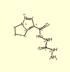 NNC(=O)NNC(=O)c1cnn2c1CCC2